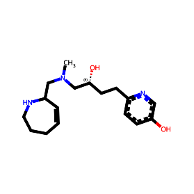 CN(CC1C=CCCCN1)C[C@H](O)CCc1ccc(O)cn1